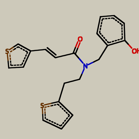 O=C(C=Cc1ccsc1)N(CCc1cccs1)Cc1ccccc1O